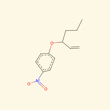 C=CC(CCC)Oc1ccc([N+](=O)[O-])cc1